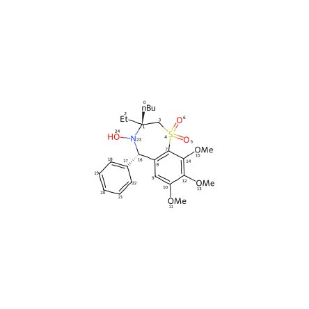 CCCC[C@@]1(CC)CS(=O)(=O)c2c(cc(OC)c(OC)c2OC)[C@H](c2ccccc2)N1O